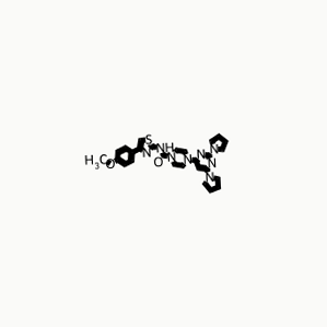 COc1ccc(-c2csc(NC(=O)N3CCN(c4cc(N5CCCC5)nc(N5CCCC5)n4)CC3)n2)cc1